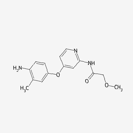 COCC(=O)Nc1cc(Oc2ccc(N)c(C)c2)ccn1